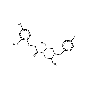 COc1cc(C(C)=O)ccc1OCC(=O)N1C[C@H](C)N(Cc2ccc(F)cc2)C[C@H]1C